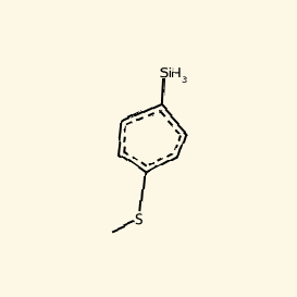 CSc1ccc([SiH3])cc1